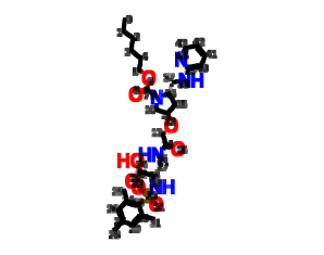 CCCCCCOC(=O)N1C[C@H](OCC(=O)NC[C@H](NS(=O)(=O)c2c(C)cc(C)cc2C)C(=O)O)C[C@H]1CNc1ccccn1